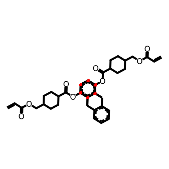 C=CC(=O)OCC1CCC(C(=O)Oc2ccc(OC(=O)C3CCC(COC(=O)C=C)CC3)c3c2C2c4ccccc4C3c3ccccc32)CC1